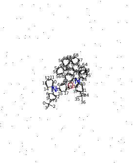 CC(C)(C)c1ccc(N(c2ccccc2)c2ccc3oc4c(N(c5ccccc5)c5ccc(C(C)(C)C)cc5)c5c(cc4c3c2)C(c2ccccc2)(c2ccccc2)c2c-5c3ccccc3c3ccccc23)cc1